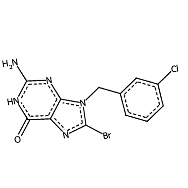 Nc1nc2c(nc(Br)n2Cc2cccc(Cl)c2)c(=O)[nH]1